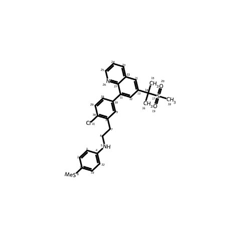 CSc1ccc(NCCc2cc(-c3cc(C(C)(C)S(C)(=O)=O)cc4cccnc34)ccc2Cl)cc1